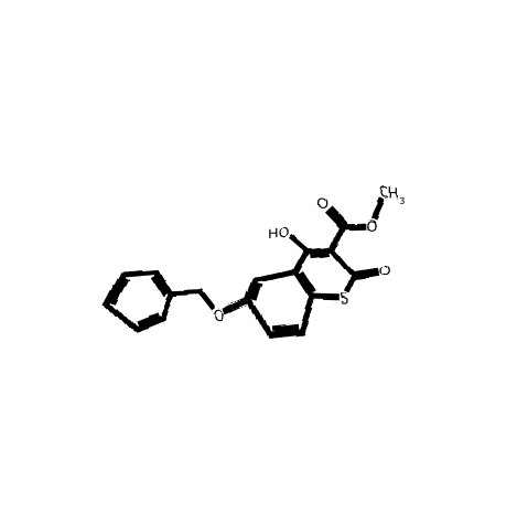 COC(=O)c1c(O)c2cc(OCc3ccccc3)ccc2sc1=O